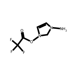 NN1C=CN(OC(=O)C(F)(F)F)C1